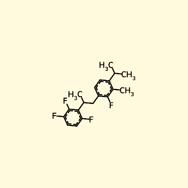 Cc1c(C(C)C)ccc(CC(C)c2c(F)ccc(F)c2F)c1F